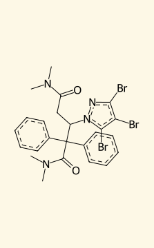 CN(C)C(=O)CC(n1nc(Br)c(Br)c1Br)C(C(=O)N(C)C)(c1ccccc1)c1ccccc1